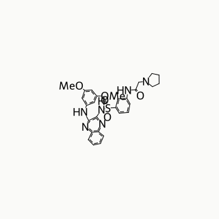 COc1cc(Nc2nc3ccccc3nc2NS(=O)(=O)c2cccc(NC(=O)CN3CCCC3)c2)cc(OC)c1